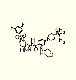 CN(C)C1CCN(c2ccc(C(=O)Nc3n[nH]c4c3CN(S(=O)(=O)c3cc(F)cc(F)c3)CC4)c(NC3CCOCC3)c2)CC1